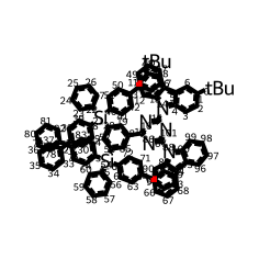 CC(C)(C)c1ccc2c(c1)c1cc(C(C)(C)C)ccc1n2-c1nc(-c2cc([Si](c3ccccc3)(c3ccc(-c4ccccc4)cc3)c3ccc(-c4ccccc4)cc3)cc([Si](c3ccccc3)(c3ccc(-c4ccccc4)cc3)c3ccc(-c4ccccc4)cc3)c2)nc(-n2c3ccccc3c3ccccc32)n1